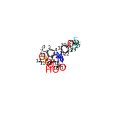 CCc1ccc2c(c1S(=O)(=O)CC)c(=O)c(C(=O)O)nn2-c1ccc(OC(F)(F)F)cc1